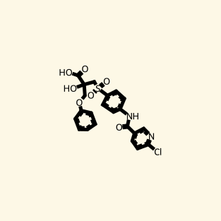 O=C(Nc1ccc(S(=O)(=O)CC(O)(COc2ccccc2)C(=O)O)cc1)c1ccc(Cl)nc1